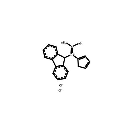 CCCC[Si](CCCC)=[Zr+2]([C]1=CC=CC1)[CH]1c2ccccc2-c2ccccc21.[Cl-].[Cl-]